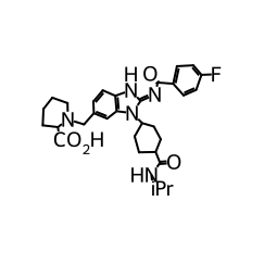 CC(C)NC(=O)C1CCC(n2/c(=N/C(=O)c3ccc(F)cc3)[nH]c3ccc(CN4CCCCC4C(=O)O)cc32)CC1